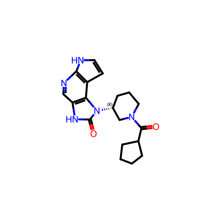 O=C(C1CCCC1)N1CCC[C@@H](n2c(=O)[nH]c3cnc4[nH]ccc4c32)C1